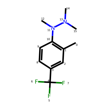 Cc1cc(C(F)(F)F)ccc1N(C)N(C)C